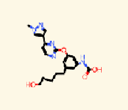 Cn1cc(-c2ccnc(Oc3cc(CCCCCO)cc(NC(=O)O)c3)n2)cn1